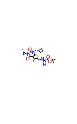 Cc1c(/C=N/NC(=O)OC(C)(C)C)sc2c1c(=O)n([C@H]1C[C@@H]1C)c(=O)n2CC1CCC1